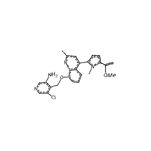 C=C(OC)c1ccc(-c2cc(C)nc3c(OCc4c(N)cncc4Cl)cccc23)n1C